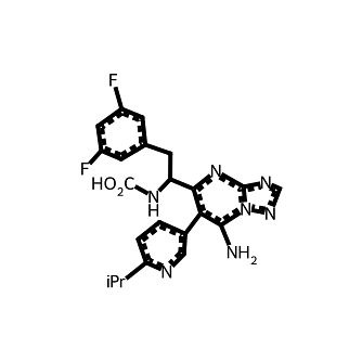 CC(C)c1ccc(-c2c(C(Cc3cc(F)cc(F)c3)NC(=O)O)nc3ncnn3c2N)cn1